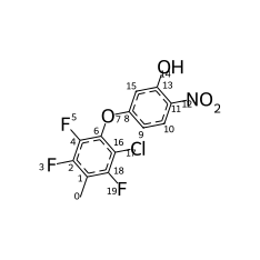 Cc1c(F)c(F)c(Oc2ccc([N+](=O)[O-])c(O)c2)c(Cl)c1F